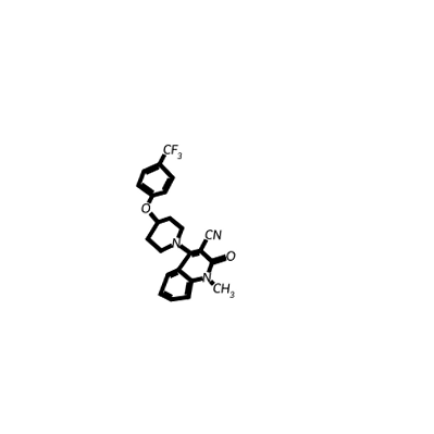 Cn1c(=O)c(C#N)c(N2CCC(Oc3ccc(C(F)(F)F)cc3)CC2)c2ccccc21